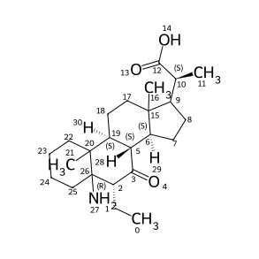 CC[C@H]1C(=O)[C@H]2[C@@H]3CCC([C@H](C)C(=O)O)C3(C)CC[C@@H]2C2(C)CCCCC12N